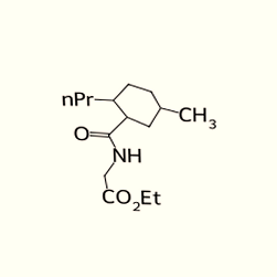 CCCC1CCC(C)CC1C(=O)NCC(=O)OCC